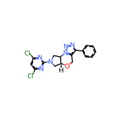 Clc1cc(Cl)nc(N2CC3[C@@H](C2)OCc2c(-c4ccccc4)nnn23)n1